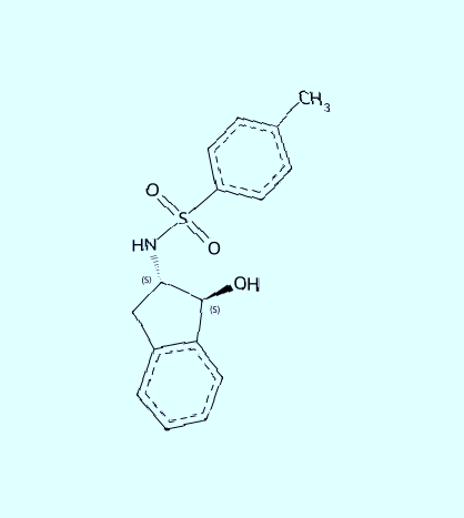 Cc1ccc(S(=O)(=O)N[C@H]2Cc3ccccc3[C@@H]2O)cc1